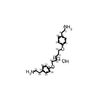 Cl.Cl.NCCc1ccc(OCCCCCOc2ccc(CCN)cc2)cc1